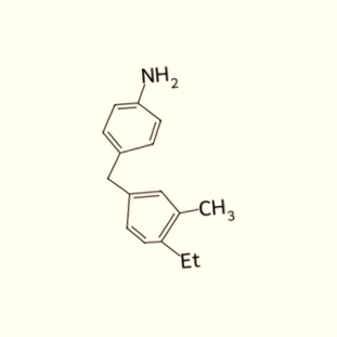 CCc1ccc(Cc2ccc(N)cc2)cc1C